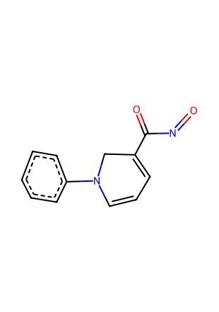 O=NC(=O)C1=CC=CN(c2ccccc2)C1